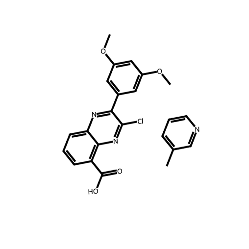 COc1cc(OC)cc(-c2nc3cccc(C(=O)O)c3nc2Cl)c1.Cc1cccnc1